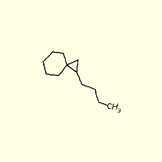 CCCCC1CC12CCCCC2